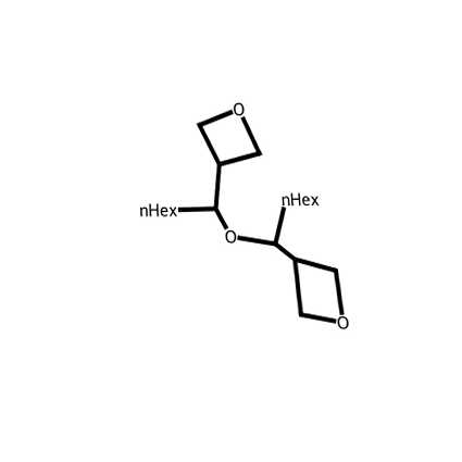 CCCCCCC(OC(CCCCCC)C1COC1)C1COC1